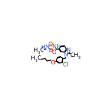 CCCCCOc1ccc(Cn2c(C)nc3ccc(C(=O)NS(=O)(=O)NCC)cc32)c(Cl)c1